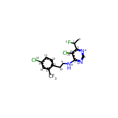 CC(F)c1ncnc(NCCc2ccc(Cl)cc2C(F)(F)F)c1Cl